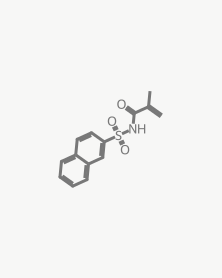 C=C(C)C(=O)NS(=O)(=O)c1ccc2ccccc2c1